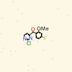 COc1cc(F)ccc1C(=O)c1ccnc(Cl)n1